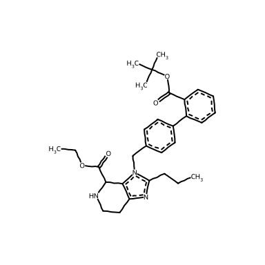 CCCc1nc2c(n1Cc1ccc(-c3ccccc3C(=O)OC(C)(C)C)cc1)C(C(=O)OCC)NCC2